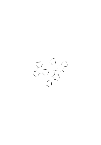 O=c1c2ccccc2n(-c2ccccc2)c2nc3c4c(ccc3n12)c1ccccc1n4-c1ccc2c3ccccc3c3ccccc3c2c1